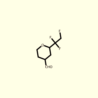 O=CC1CCOC(C(F)(F)CF)C1